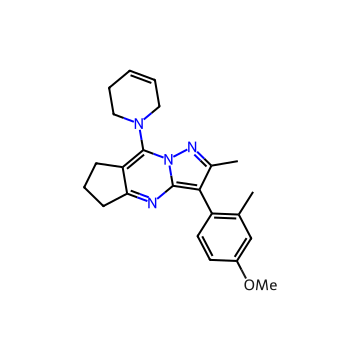 COc1ccc(-c2c(C)nn3c(N4CC=CCC4)c4c(nc23)CCC4)c(C)c1